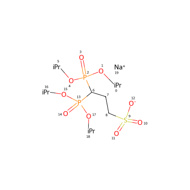 CC(C)OP(=O)(OC(C)C)C(CCS(=O)(=O)[O-])P(=O)(OC(C)C)OC(C)C.[Na+]